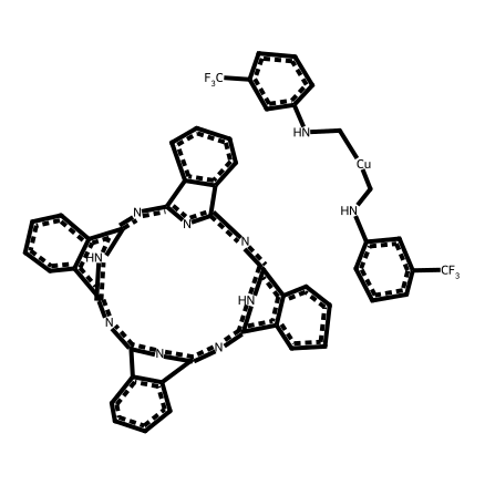 FC(F)(F)c1cccc(N[CH2][Cu][CH2]Nc2cccc(C(F)(F)F)c2)c1.c1ccc2c(c1)-c1nc-2nc2[nH]c(nc3nc(nc4[nH]c(n1)c1ccccc41)-c1ccccc1-3)c1ccccc21